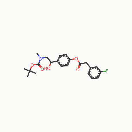 CN(CC(O)c1ccc(OC(=O)Cc2cccc(F)c2)cc1)C(=O)OC(C)(C)C